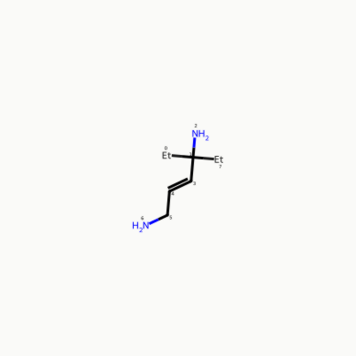 CCC(N)(/C=C/CN)CC